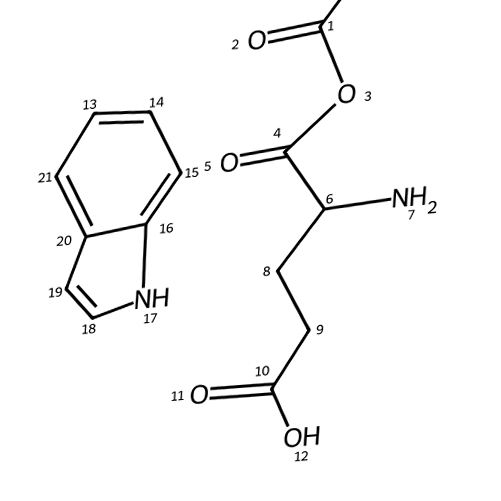 CC(=O)OC(=O)C(N)CCC(=O)O.c1ccc2[nH]ccc2c1